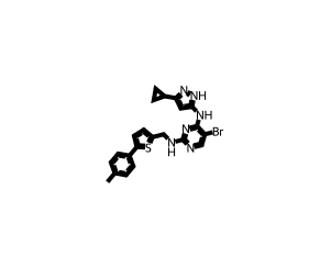 Cc1ccc(-c2ccc(CNc3ncc(Br)c(Nc4cc(C5CC5)n[nH]4)n3)s2)cc1